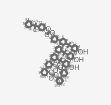 CC(C)(c1ccccc1)c1ccc(O)cc1.CC(C)(c1ccccc1)c1ccc(O)cc1.CC(C)(c1ccccc1)c1ccc(O)cc1.CC(C)(c1ccccc1)c1ccc(OC(=O)Oc2ccccc2)cc1.O=C(Oc1ccccc1)Oc1ccccc1.O=C(Oc1ccccc1)Oc1ccccc1